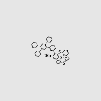 CC(C)(C)c1ccc2c(c1-c1cccc(-c3cc(-c4ccccc4)c(-c4ccccc4)cc3-c3ccccc3)c1)Sc1ccccc1[Si]21c2ccccc2Sc2ccccc21